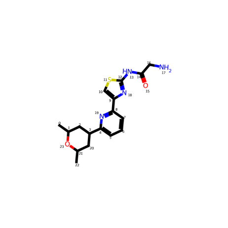 CC1CC(c2cccc(-c3csc(NC(=O)CN)n3)n2)CC(C)O1